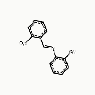 O=[N+]([O-])c1ccccc1C=Nc1ccccc1O